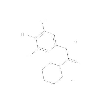 CC[C@H](C(=O)N1CCCC[C@H]1C(=O)O)c1cc(O)c(O)c(O)c1